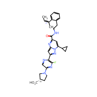 C/C=C(/C)c1ccccc1CCNC(=O)c1cc(C2CC2)n2nc(-c3ncc(N4CC[C@H](C(=O)O)C4)nc3F)cc2n1